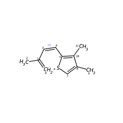 C=C(C)/C=C\c1scc(C)c1C